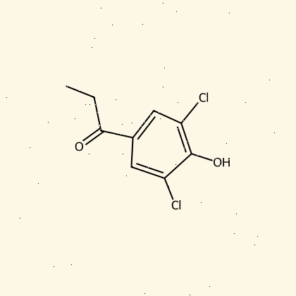 CCC(=O)c1cc(Cl)c(O)c(Cl)c1